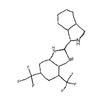 FC(F)(F)C1CC2NC(C3NCC4CCCCC43)NC2C(C(F)(F)F)C1